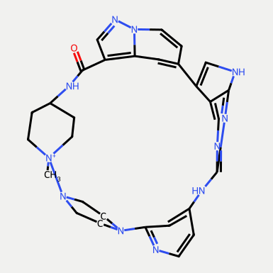 C[N+]12CCC(CC1)NC(=O)c1cnn3ccc(cc13)-c1c[nH]c3nc(ncc13)Nc1ccnc(c1)N1CCN2CC1